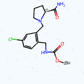 CC(C)(C)OC(=O)NCc1ccc(Cl)cc1CN1CCC[C@H]1C(N)=O